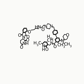 CCN(c1cc(-c2ccc(CN3CCN(CC(=O)NCCCCOc4cccc5c4C(=O)N(C4CCC(=O)NC4=O)C5=O)CC3)cc2)cc(C(=O)NCc2c(C)cc(C)[nH]c2=O)c1C)C1CCOCC1